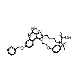 CC(C)(C)N(CCCCc1nc2c(N)nc3cc(OCc4ccccc4)ccc3c2n1CCOc1ccccc1)C(=O)O